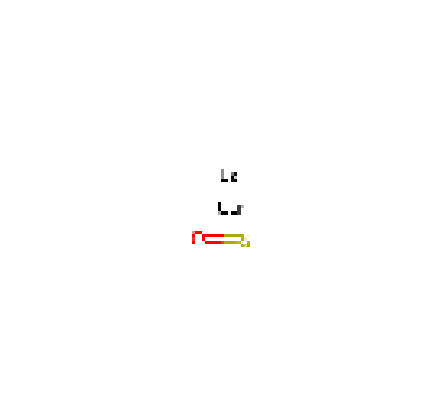 O=S.[Cu].[La]